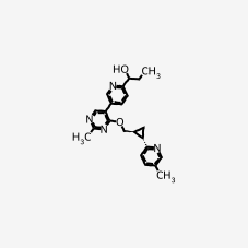 CCC(O)c1ccc(-c2cnc(C)nc2OC[C@H]2C[C@@H]2c2ccc(C)cn2)cn1